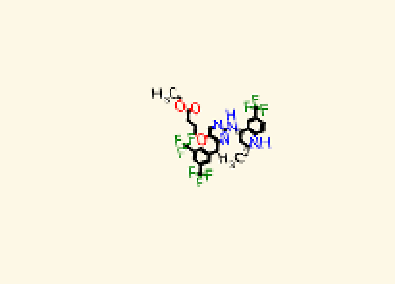 CCOC(=O)CCCOc1cnc(N[C@H]2C[C@@H](CC)Nc3ccc(C(F)(F)F)cc32)nc1Cc1cc(C(F)(F)F)cc(C(F)(F)F)c1